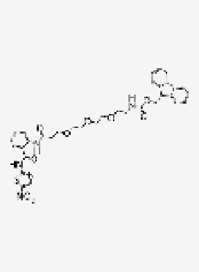 O=C(CCOCCOCCOCCNC(=O)OCC1c2ccccc2-c2ccccc21)Nc1ccccc1C(=O)Nc1ncc([N+](=O)[O-])s1